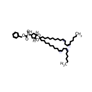 CCCCC/C=C\C/C=C\CCCCCCCCC1(CCCCCCCC/C=C\C/C=C\CCCCC)O[C@H]2CC(N(C)C(=O)OCc3ccccc3)C[C@H]2O1